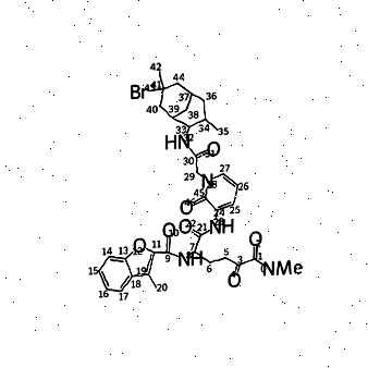 CNC(=O)C(=O)CCC(NC(=O)c1oc2ccccc2c1C)C(=O)Nc1cccn(CC(=O)NC2C(C)CC3CC2CC(C)(Br)C3)c1=O